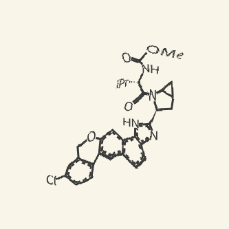 COC(=O)N[C@H](C(=O)N1C2CC2C[C@H]1c1nc2ccc3cc4c(cc3c2[nH]1)OCc1cc(Cl)ccc1-4)C(C)C